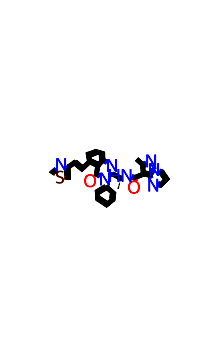 Cc1nn2cccnc2c1C(=O)N[C@H](C)c1nc2cccc(/C=C/c3cscn3)c2c(=O)n1-c1ccccc1